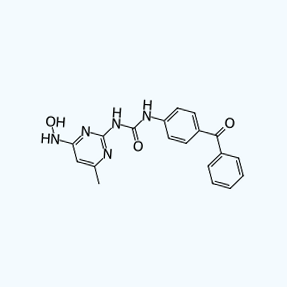 Cc1cc(NO)nc(NC(=O)Nc2ccc(C(=O)c3ccccc3)cc2)n1